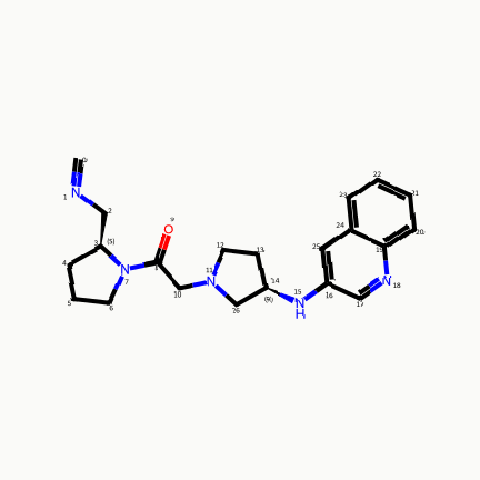 C=NC[C@@H]1CCCN1C(=O)CN1CC[C@@H](Nc2cnc3ccccc3c2)C1